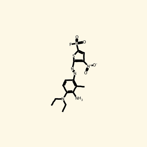 CCN(CC)c1ccc(N=Nc2sc(S(=O)(=O)F)cc2[N+](=O)[O-])c(C)c1N